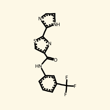 O=C(Nc1cccc(C(F)(F)F)c1)c1csc(-c2ncc[nH]2)n1